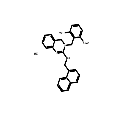 COc1cccc(OC)c1CN1Cc2ccccc2N=C1NCc1cccc2ccccc12.Cl